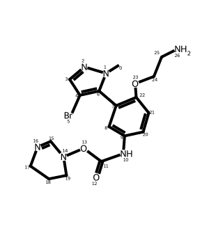 Cn1ncc(Br)c1-c1cc(NC(=O)ON2C=NCCC2)ccc1OCCN